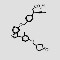 CC#CC(CC(=O)O)c1ccc(COc2ccc3scc(-c4ccc(OCC5CC[S+]([O-])CC5)cc4C)c3c2)cc1